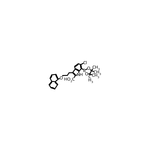 CC1(C)OB(c2c(Cl)ccc3c(CCCOc4cccc5ccccc45)c(C(=O)O)[nH]c23)OC1(C)C